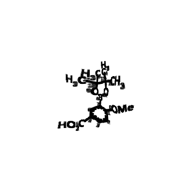 COc1ccc(C(=O)O)cc1B1OC(C)(C)C(C)(C)O1